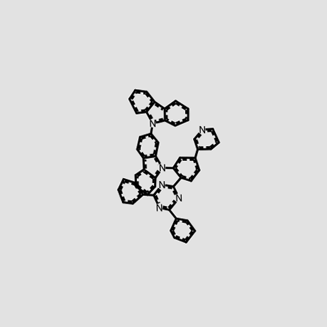 c1ccc(-c2nc(-c3ccccc3)nc(-c3ccc(-c4cccnc4)cc3-n3c4ccccc4c4ccc(-n5c6ccccc6c6ccccc65)cc43)n2)cc1